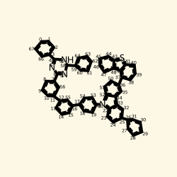 c1ccc(C2=NC(c3cccc(-c4cccc(-c5ccc(-n6c7ccc(-c8ccccc8)cc7c7cc(-c8cccc9sc%10ccccc%10c89)ccc76)cc5)c4)c3)=NC(c3ccccc3)N2)cc1